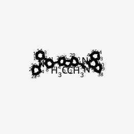 CC1(C)c2cc(-c3ccc4c(c3)c3ccccc3n4-c3ccccc3)ccc2-c2ccc(-c3cnc4c5ccccc5c5ccccc5c4n3)cc21